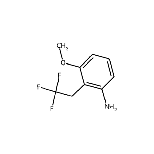 COc1cccc(N)c1CC(F)(F)F